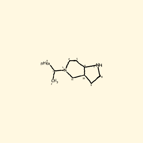 CCCCCCC(C)N1CCC2NCCC2C1